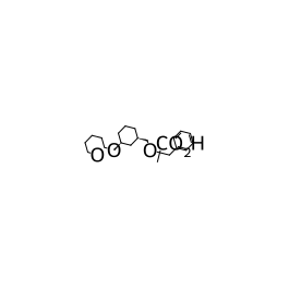 CC(Cc1ccccc1)(OC[C@@H]1CCC[C@H](OC2CCCCO2)C1)C(=O)O